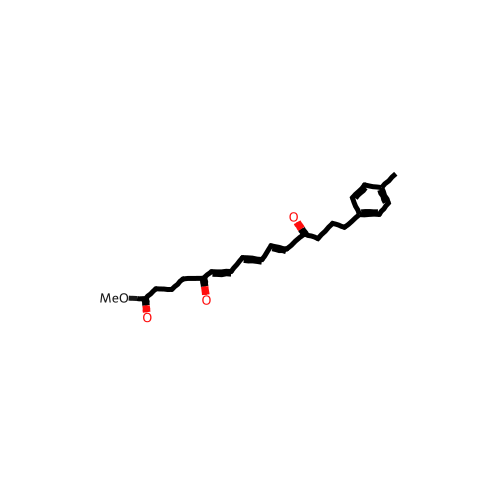 COC(=O)CCCC(=O)/C=C/C=C/C=C/C(=O)CCCc1ccc(C)cc1